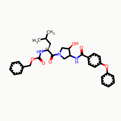 CC(C)C[C@H](NC(=O)OCc1ccccc1)C(=O)N1CC(O)C(NC(=O)c2ccc(Oc3ccccc3)cc2)C1